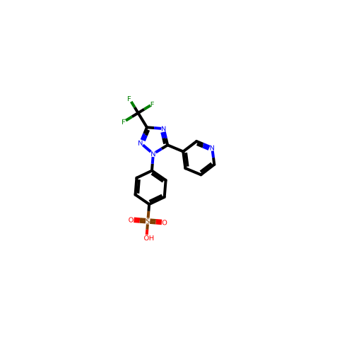 O=S(=O)(O)c1ccc(-n2nc(C(F)(F)F)nc2-c2cccnc2)cc1